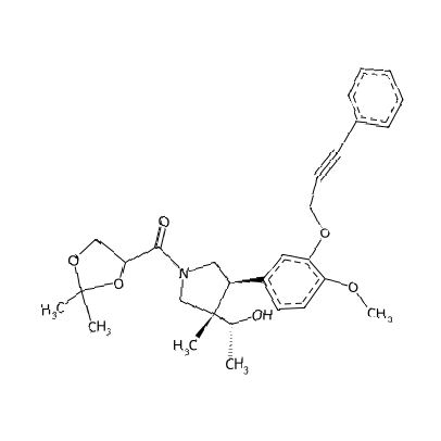 COc1ccc([C@@H]2CN(C(=O)C3COC(C)(C)O3)C[C@@]2(C)[C@@H](C)O)cc1OCC#Cc1ccccc1